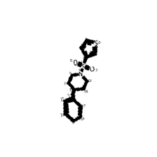 O=S(=O)(c1ccsc1)N1CCC(C2C=CCC=C2)CC1